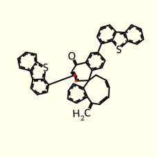 C=C1/C=C\C=C/CC2(c3ccccc31)c1ccc(-c3cccc4c3sc3ccccc34)cc1C(=O)c1cc(-c3cccc4c3sc3ccccc34)ccc12